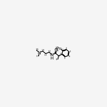 CC(C)c1ccccc1C(C)C(=O)NCCCN(C)C